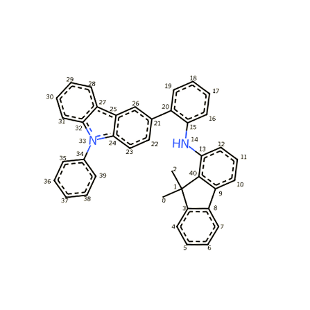 CC1(C)c2ccccc2-c2cccc(Nc3ccccc3-c3ccc4c(c3)c3ccccc3n4-c3ccccc3)c21